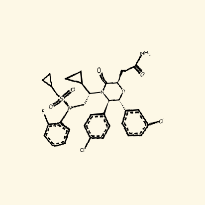 NC(=O)C[C@H]1O[C@H](c2cccc(Cl)c2)[C@@H](c2ccc(Cl)cc2)N([C@H](CN(c2ccccc2F)S(=O)(=O)C2CC2)C2CC2)C1=O